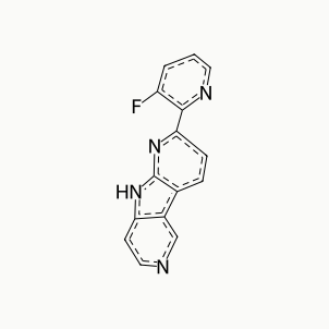 Fc1cccnc1-c1ccc2c(n1)[nH]c1ccncc12